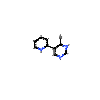 CCc1ncncc1-c1ccccn1